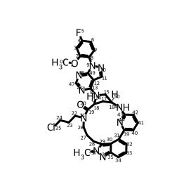 COc1cc(F)ccc1-n1ncc2c(N3C[C@@H]4C[C@H]3C(=O)N(CCCCl)CCCc3c5c(cccc5nn3C)-c3cccc(n3)N4)ncnc21